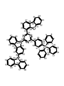 c1ccc(S(c2ccccc2)(c2ccccc2)c2ccc(-c3nc(-c4cccc5c4oc4ccccc45)nc(-n4c5ccccc5c5cc(-n6c7ccccc7c7ccccc76)ccc54)n3)cc2)cc1